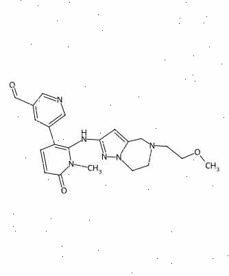 COCCN1CCn2nc(Nc3c(-c4cncc(C=O)c4)ccc(=O)n3C)cc2C1